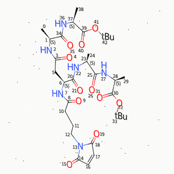 C[C@H](NC(=O)C[C@H](NC(=O)CCCN1C(=O)C=CC1=O)C(=O)N[C@@H](C)C(=O)N[C@@H](C)C(=O)OC(C)(C)C)C(=O)N[C@@H](C)C(=O)OC(C)(C)C